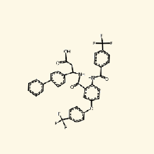 O=C(O)CC(NC(=O)c1cc(Oc2ccc(C(F)(F)F)cc2)ccc1NC(=O)c1ccc(C(F)(F)F)cc1)c1ccc(-c2ccccc2)cc1